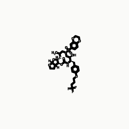 CC(C)CN(C[C@@H](O)[C@H](Cc1ccc(OCCCC(F)(F)F)cc1)NC(=O)O[C@H]1CO[C@H]2OCC[C@H]21)S(=O)(=O)c1ccc2c(c1)OCCO2